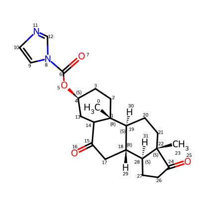 C[C@]12CC[C@H](OC(=O)n3ccnc3)CC1C(=O)C[C@@H]1[C@@H]2CC[C@]2(C)C(=O)CC[C@@H]12